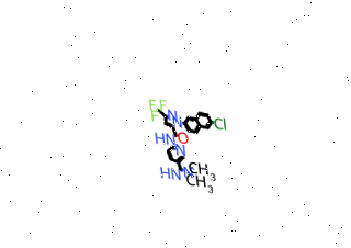 CN(C)C(=N)c1ccc(NC(=O)c2cc(C(F)(F)F)nn2-c2ccc3cc(Cl)ccc3c2)nc1